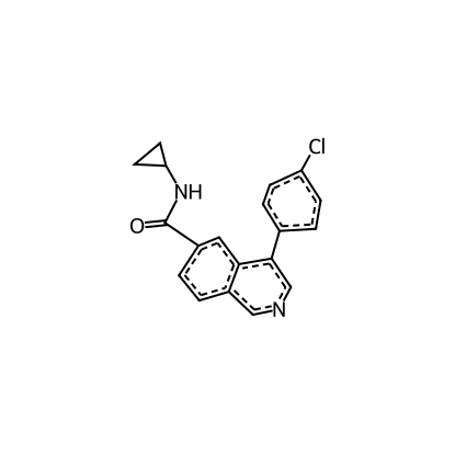 O=C(NC1CC1)c1ccc2cncc(-c3ccc(Cl)cc3)c2c1